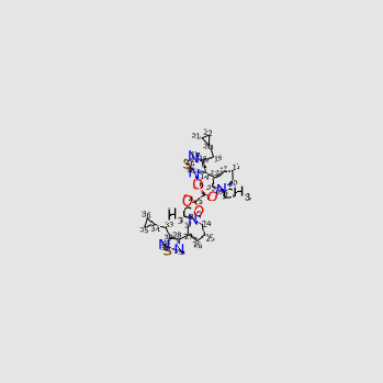 C[N+]1(OC(=O)C(=O)O[N+]2(C)CCC=C(c3nsnc3CC3CC3)C2)CCC=C(c2nsnc2CC2CC2)C1